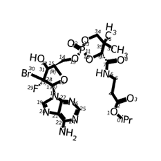 CC(C)OC(=O)CCNC(=O)[C@@H]1OP(=O)(OC[C@H]2O[C@@H](n3cnc4c(N)ncnc43)[C@@](F)(Br)C2O)OCC1(C)C